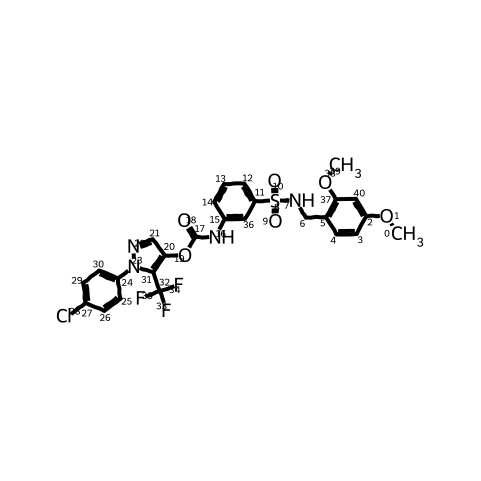 COc1ccc(CNS(=O)(=O)c2cccc(NC(=O)Oc3cnn(-c4ccc(Cl)cc4)c3C(F)(F)F)c2)c(OC)c1